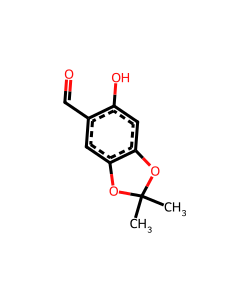 CC1(C)Oc2cc(O)c(C=O)cc2O1